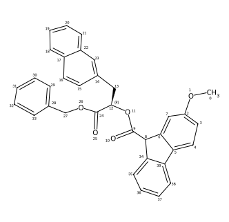 COc1ccc2c(c1)C(C(=O)O[C@H](Cc1ccc3ccccc3c1)C(=O)OCc1ccccc1)c1ccccc1-2